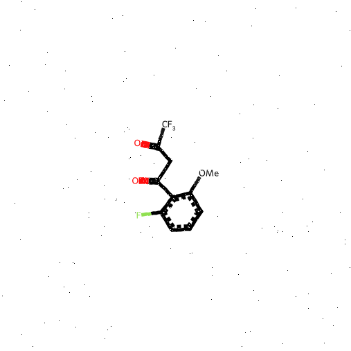 COc1cccc(F)c1C(=O)CC(=O)C(F)(F)F